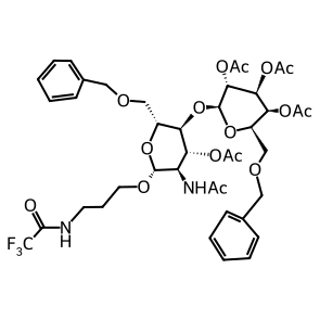 CC(=O)N[C@H]1[C@H](OCCCNC(=O)C(F)(F)F)O[C@H](COCc2ccccc2)[C@@H](O[C@@H]2O[C@H](COCc3ccccc3)[C@H](OC(C)=O)[C@H](OC(C)=O)[C@H]2OC(C)=O)[C@@H]1OC(C)=O